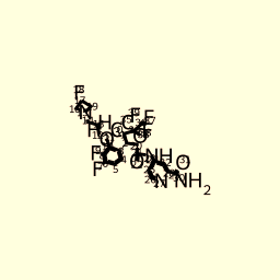 C[C@H]1[C@@H](c2ccc(F)c(F)c2OCCCN2CC(F)C2)[C@H](C(=O)Nc2ccnc(C(N)=O)c2)O[C@@]1(C)C(F)(F)F